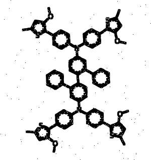 COc1cc(C)sc1-c1ccc(N(c2ccc(-c3sc(C)cc3OC)cc2)c2ccc(-c3ccc(N(c4ccc(-c5sc(C)cc5OC)cc4)c4ccc(-c5sc(C)cc5OC)cc4)cc3-c3ccccc3)c(-c3ccccc3)c2)cc1